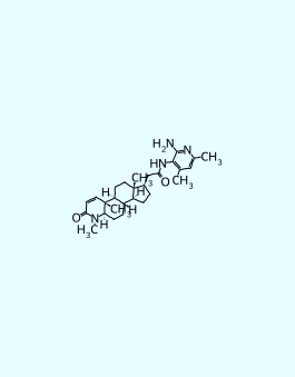 Cc1cc(C)c(NC(=O)C[C@H]2CC[C@H]3[C@@H]4CC[C@H]5N(C)C(=O)C=C[C@]5(C)[C@H]4CC[C@]23C)c(N)n1